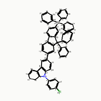 Fc1ccc(-n2c3c(c4cc(-c5ccc6c(c5)C(c5ccccc5)(c5ccccc5)c5cc([Si](c7ccccc7)(c7ccccc7)c7ccccc7)ccc5-6)ccc42)C=CCC3)cc1